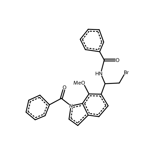 COc1c(C(CBr)NC(=O)c2ccccc2)ccc2ccn(C(=O)c3ccccc3)c12